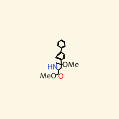 COC(=O)C1CC(OC)(c2ccc(-c3ccccc3)cc2)CN1